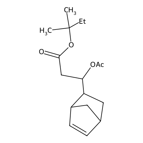 CCC(C)(C)OC(=O)CC(OC(C)=O)C1CC2C=CC1C2